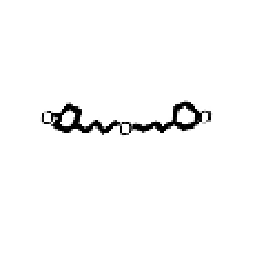 C(CCC1CCC2OC2C1)COCCCCC1CCC2OC2C1